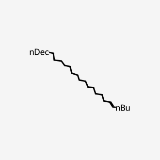 CCCC/C=C/CCCCCCCCCCCCCCCCCCCCCCCC